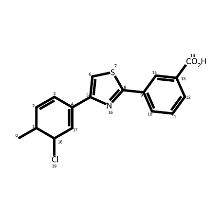 CC1C=CC(c2csc(-c3cccc(C(=O)O)c3)n2)=CC1Cl